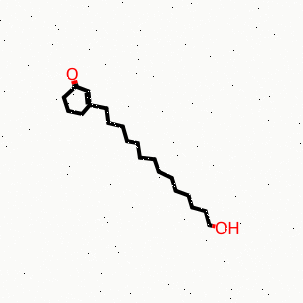 O=C1C=C(CCCCCCCCCCCCCCO)CCC1